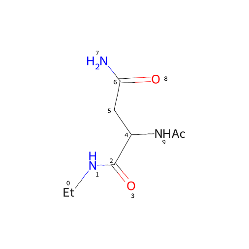 [CH2]CNC(=O)C(CC(N)=O)NC(C)=O